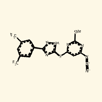 CSc1nc(N=[N+]=[N-])cc(Sc2nc(-c3cc(C(F)(F)F)cc(C(F)(F)F)c3)n[nH]2)n1